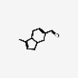 CC1=CCC2CC(C=O)=CCC12